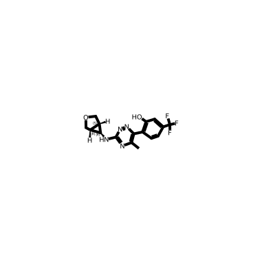 Cc1nc(N[C@H]2[C@@H]3COC[C@@H]32)nnc1-c1ccc(C(F)(F)F)cc1O